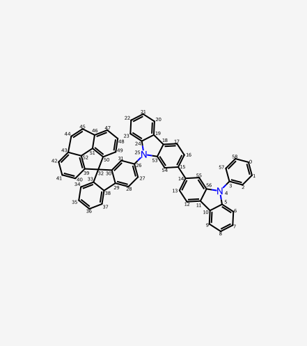 c1ccc(-n2c3ccccc3c3ccc(-c4ccc5c6ccccc6n(-c6ccc7c(c6)C6(c8ccccc8-7)c7cccc8ccc9cccc6c9c78)c5c4)cc32)cc1